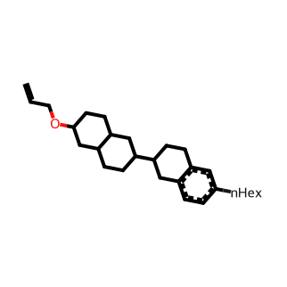 C=CCOC1CCC2CC(C3CCc4cc(CCCCCC)ccc4C3)CCC2C1